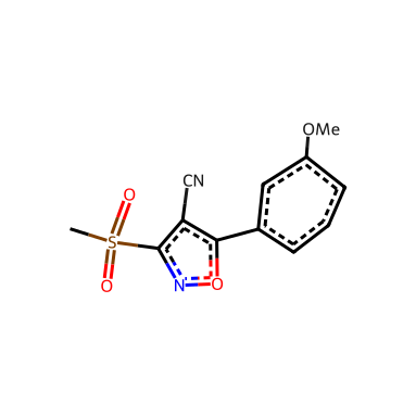 COc1cccc(-c2onc(S(C)(=O)=O)c2C#N)c1